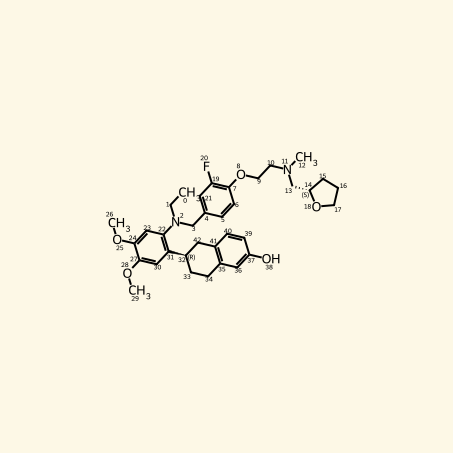 CCN(Cc1ccc(OCCN(C)C[C@@H]2CCCO2)c(F)c1)c1cc(OC)c(OC)cc1[C@@H]1CCc2cc(O)ccc2C1